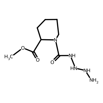 COC(=O)C1CCCCN1C(=O)NNNN